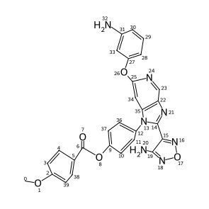 COc1ccc(C(=O)Oc2ccc(-n3c(-c4nonc4N)nc4cnc(Oc5cccc(N)c5)cc43)cc2)cc1